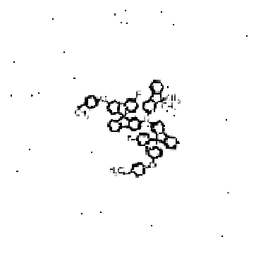 C=Cc1ccc(Oc2ccc(C3(c4ccc(F)cc4F)c4ccccc4-c4ccc(N(c5ccc6c(c5)C(C)(C)c5ccccc5-6)c5ccc6c(c5)C(c5ccc(Oc7ccc(C=C)cc7)cc5)(c5ccc(F)cc5F)c5ccccc5-6)cc43)cc2)cc1